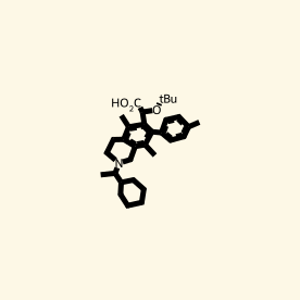 Cc1ccc(-c2c(C)c3c(c(C)c2C(OC(C)(C)C)C(=O)O)CCN(C(C)C2CCCCC2)C3)cc1